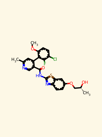 COc1ccc(Cl)c(F)c1-c1cc(C)ncc1C(=O)Nc1nc2ccc(OC[C@@H](C)O)cc2s1